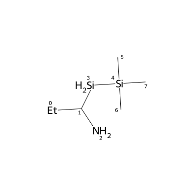 CCC(N)[SiH2][Si](C)(C)C